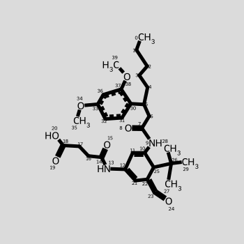 CCCCCC(CC(=O)NC1=CC(NC(=O)CCC(=O)O)=CC(=C=O)C1C(C)(C)C)c1ccc(OC)cc1OC